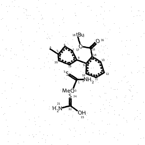 COC(N)=S.Cc1ccc(-c2ccccc2C(=O)OC(C)(C)C)cc1.NC(O)=S